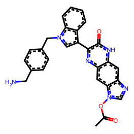 CC(=O)On1cnc2cc3[nH]c(=O)c(-c4cn(Cc5ccc(CN)cc5)c5ccccc45)nc3cc21